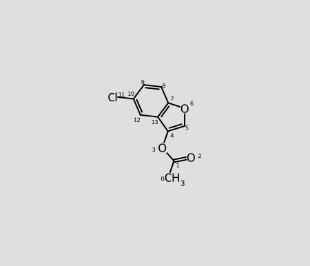 CC(=O)Oc1coc2ccc(Cl)cc12